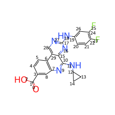 O=C(O)c1ccc2c(c1)nc(NC1CC1)c1nc(Nc3ccc(F)c(F)c3)ncc12